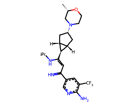 CC(C)N/C(=C\C(=N)c1cnc(N)c(C(F)(F)F)c1)[C@H]1[C@@H]2C[C@H](N3CCO[C@@H](C)C3)C[C@@H]21